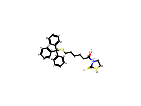 O=C(CCCCCSC(c1ccccc1)(c1ccccc1)c1ccccc1)N1CCSC1=S